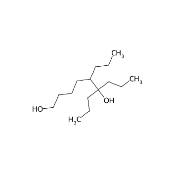 CCCC(CCCCO)C(O)(CCC)CCC